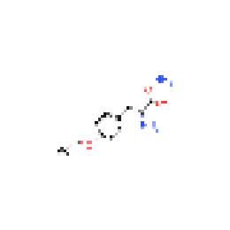 CC(=O)COc1ccc(CC(N)C(=O)ON)cc1